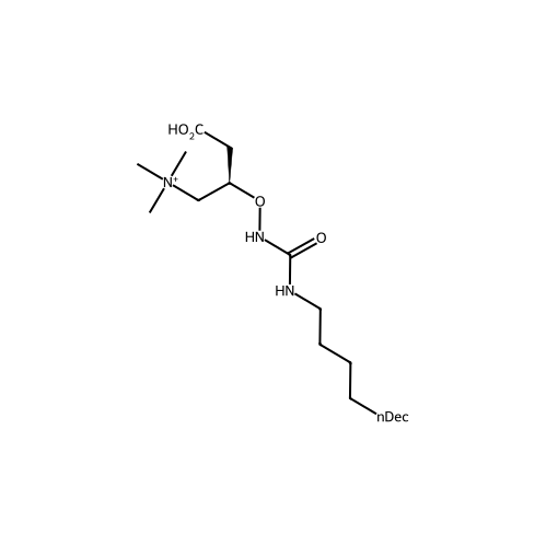 CCCCCCCCCCCCCCNC(=O)NO[C@H](CC(=O)O)C[N+](C)(C)C